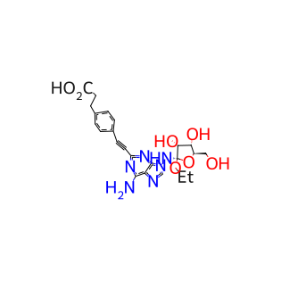 CCO[C@]1(Nn2cnc3c(N)nc(C#Cc4ccc(CCC(=O)O)cc4)nc32)O[C@H](CO)[C@@H](O)[C@H]1O